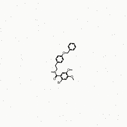 COc1cc(Br)c(C(=O)N(C)CCc2ccc(OCc3ccccc3)cc2)cc1OC